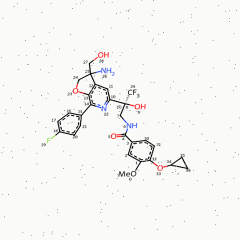 COc1cc(C(=O)NC[C@](O)(c2cc3c(c(-c4ccc(F)cc4)n2)OCC3(N)CO)C(F)(F)F)ccc1OC1CC1